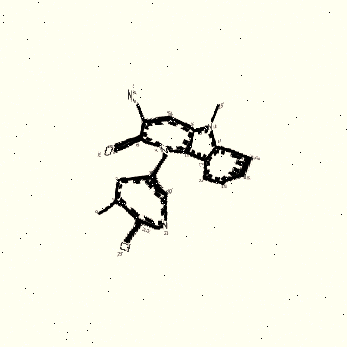 Cc1cc(-n2c(=O)c(C#N)cc3c2c2ccccc2n3C)cnc1Cl